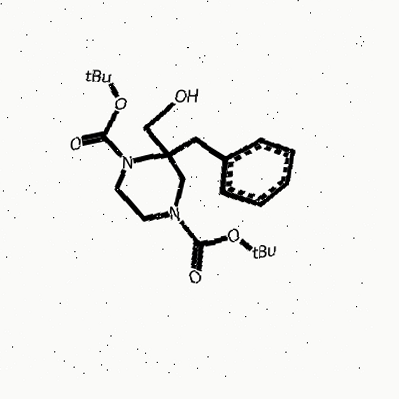 CC(C)(C)OC(=O)N1CCN(C(=O)OC(C)(C)C)C(CO)(Cc2ccccc2)C1